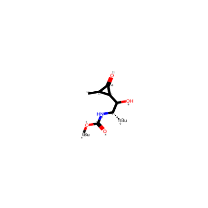 CCCC[C@H](NC(=O)OC(C)(C)C)C(O)C1C(=O)C1C